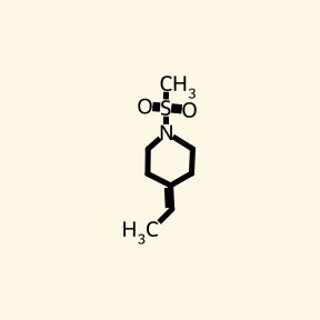 CC=C1CCN(S(C)(=O)=O)CC1